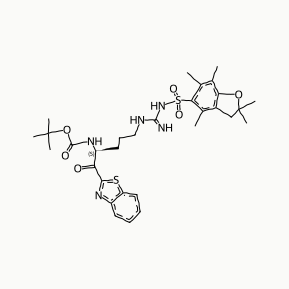 Cc1c(C)c(S(=O)(=O)NC(=N)NCCC[C@H](NC(=O)OC(C)(C)C)C(=O)c2nc3ccccc3s2)c(C)c2c1OC(C)(C)C2